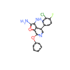 Nc1oc2c(Oc3ccccc3)ncc(-c3ccc(F)c(Cl)c3)c2c1N